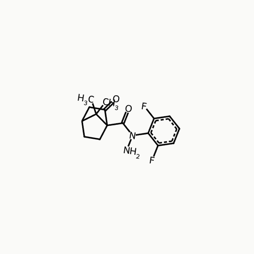 CC1(C)C2CCC1(C(=O)N(N)c1c(F)cccc1F)C(=O)C2